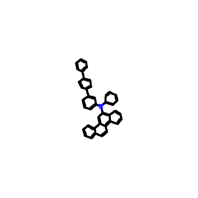 c1ccc(-c2ccc(-c3cccc(N(c4ccccc4)c4cc5c6ccccc6ccc5c5ccccc45)c3)cc2)cc1